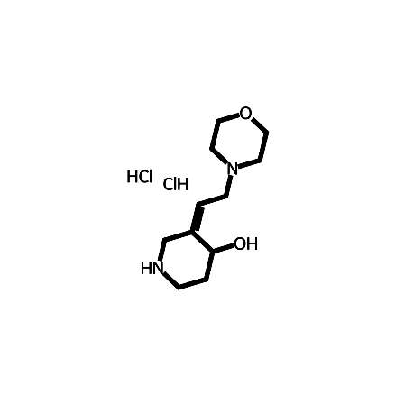 Cl.Cl.OC1CCNC/C1=C/CN1CCOCC1